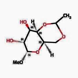 CO[C@H]1O[C@@H]2COC(C)O[C@@H]2[C@H](O)[C@H]1O